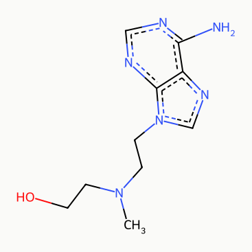 CN(CCO)CCn1cnc2c(N)ncnc21